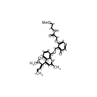 C=C/C=C(/c1cc(C)nc2c(OCc3c(Cl)cncc3OCC(=O)NCCOC)cccc12)N(C)C